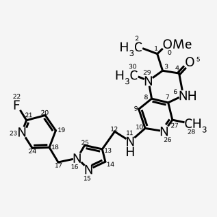 COC(C)C1C(=O)Nc2c(cc(NCc3cnn(Cc4ccc(F)nc4)c3)nc2C)N1C